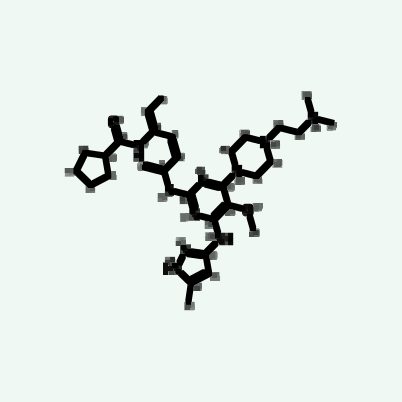 C=C(/C=C\C(=C/C)NC(=O)C1CCCC1)Sc1nc(Nc2cc(C)[nH]n2)c(OC)c(N2CCN(CCN(C)C)CC2)n1